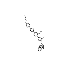 CCCCCc1ccc(-c2ccc(-c3ccc(-c4ccc(CCCN(C)SOC)c(CC)c4)c(CCC)c3)cc2)cc1